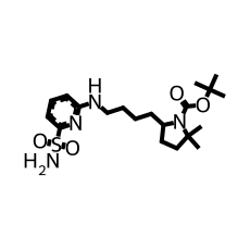 CC(C)(C)OC(=O)N1C(CCCCNc2cccc(S(N)(=O)=O)n2)CCC1(C)C